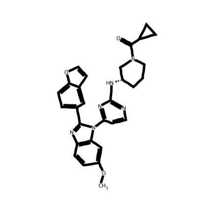 COc1ccc2nc(-c3ccc4occc4c3)n(-c3ccnc(N[C@H]4CCCN(C(=O)C5CC5)C4)n3)c2c1